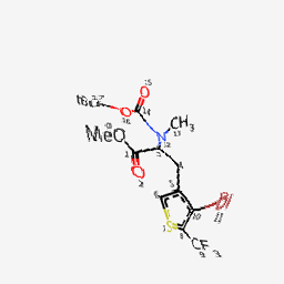 COC(=O)C(Cc1csc(C(F)(F)F)c1Br)N(C)C(=O)OC(C)(C)C